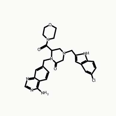 Nc1ncnc2cc(CN3C(=O)CN(Cc4cc5cc(Cl)ccc5[nH]4)CC3C(=O)N3CCOCC3)ccc12